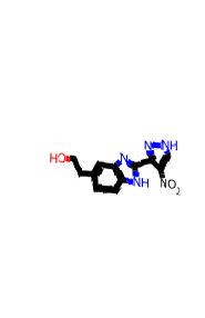 O=[N+]([O-])c1c[nH]nc1-c1nc2cc(CCO)ccc2[nH]1